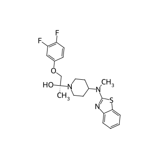 CN(c1nc2ccccc2s1)C1CCN([C@@](C)(O)COc2ccc(F)c(F)c2)CC1